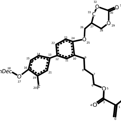 C=C(C)C(=O)OCCCCc1cc(-c2ccc(OCCCCCCCCCC)c(F)c2)ccc1OCC1COC(=O)OC1